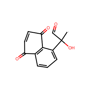 [CH2]C(O)(C=O)c1cccc2c1C(=O)C=CC2=O